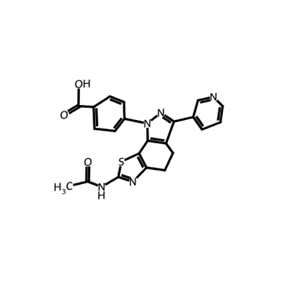 CC(=O)Nc1nc2c(s1)-c1c(c(-c3cccnc3)nn1-c1ccc(C(=O)O)cc1)CC2